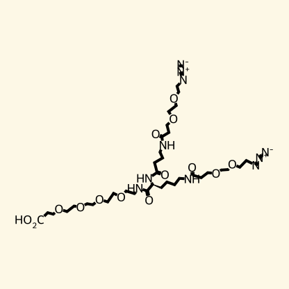 [N-]=[N+]=NCCOCCOCCC(=O)NCCCC[C@H](NC(=O)CCCNC(=O)CCOCCOCCN=[N+]=[N-])C(=O)NCCOCCOCCOCCOCCC(=O)O